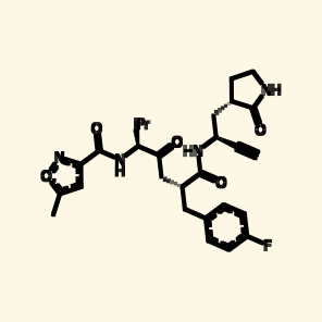 C#C[C@H](C[C@@H]1CCNC1=O)NC(=O)[C@@H](CC(=O)[C@@H](NC(=O)c1cc(C)on1)C(C)C)Cc1ccc(F)cc1